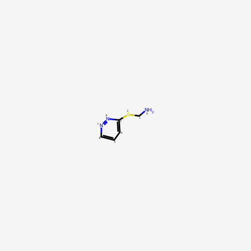 NCSc1cc[c]nn1